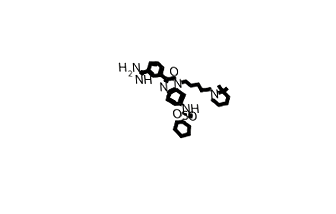 CC1(C)CCCCN1CCCCCn1c(=O)c(-c2cccc(C(=N)N)c2)nc2ccc(NS(=O)(=O)C3CCCCC3)cc21